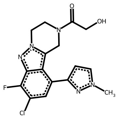 Cn1ccc(-c2cc(Cl)c(F)c3nn4c(c23)CN(C(=O)CO)CC4)n1